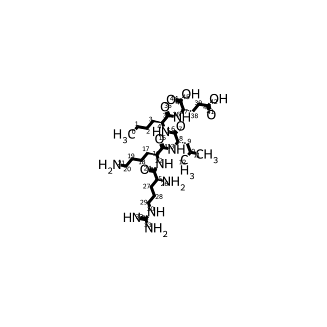 CCCC[C@H](NC(=O)[C@H](CC(C)C)NC(=O)[C@H](CCCCN)NC(=O)[C@@H](N)CCCNC(=N)N)C(=O)N[C@@H](CCC(=O)O)C(=O)O